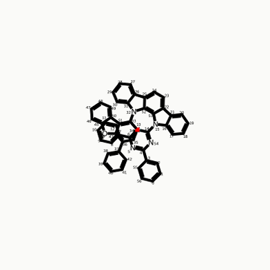 c1ccc(-c2nc(-c3ccccc3)nc(-n3c4ccccc4c4ccc5c6ccccc6n(-c6ccc(-c7ccccc7)c7oc8ccccc8c67)c5c43)n2)cc1